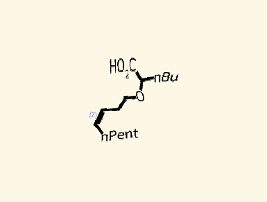 CCCCC/C=C\CCOC(CCCC)C(=O)O